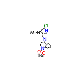 CNc1cc(Cl)ncc1CNC1CCN(C(=O)OC(C)(C)C)c2ccccc21